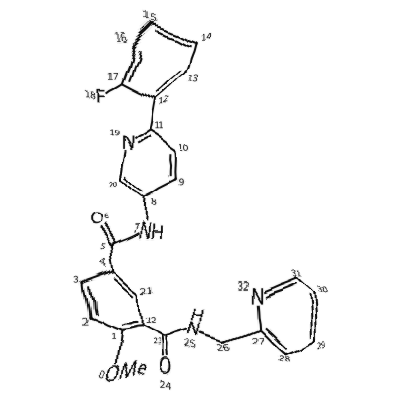 COc1ccc(C(=O)Nc2ccc(-c3ccccc3F)nc2)cc1C(=O)NCc1ccccn1